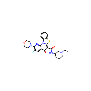 CCN1CCCC(NC(=O)c2c(=O)c3cc(F)c(N4CCOCC4)nc3n3c2sc2ccccc23)C1